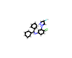 Fc1cnn(-c2cc(N=C(c3ccccc3)c3ccccc3)ccc2Cl)c1